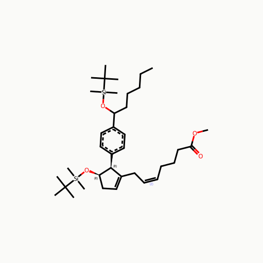 CCCCCC(O[Si](C)(C)C(C)(C)C)c1ccc([C@H]2C(C/C=C\CCCC(=O)OC)=CC[C@H]2O[Si](C)(C)C(C)(C)C)cc1